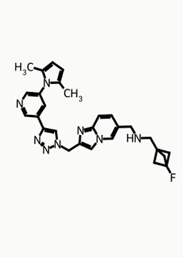 Cc1ccc(C)n1-c1cncc(-c2cn(Cc3cn4cc(CNCC56CC(F)(C5)C6)ccc4n3)nn2)c1